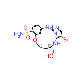 NS(=O)(=O)c1ccc2cc1OCCC[C@@H](CO)Nc1nc(ncc1Br)N2